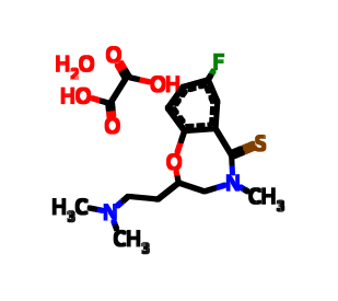 CN(C)CCC1CN(C)C(=S)c2cc(F)ccc2O1.O.O=C(O)C(=O)O